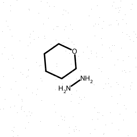 C1CCOCC1.NN